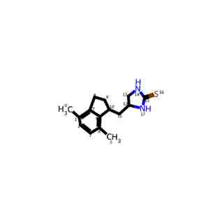 Cc1ccc(C)c2c1CCC2CC1CNC(=S)N1